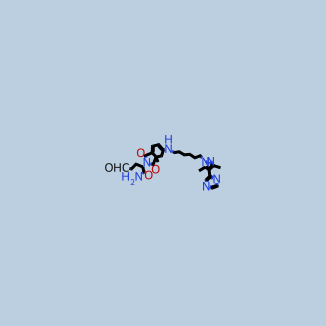 Cc1nn(CCCCCCNC2=CC=C3C(=O)N(C(CCC=O)C(N)=O)C(=O)C3(C)C2)c(C)c1-c1cnccn1